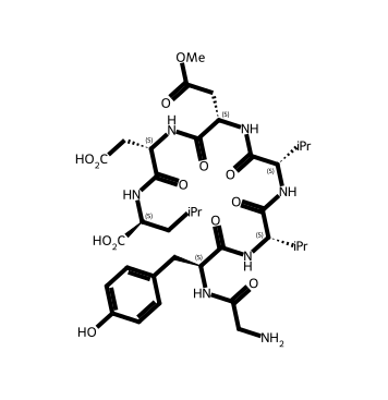 COC(=O)C[C@H](NC(=O)[C@@H](NC(=O)[C@@H](NC(=O)[C@H](Cc1ccc(O)cc1)NC(=O)CN)C(C)C)C(C)C)C(=O)N[C@@H](CC(=O)O)C(=O)N[C@@H](CC(C)C)C(=O)O